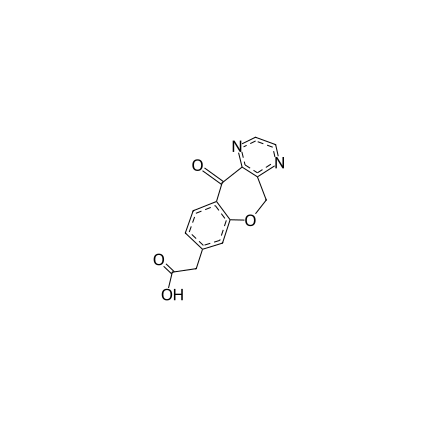 O=C(O)Cc1ccc2c(c1)OCc1nccnc1C2=O